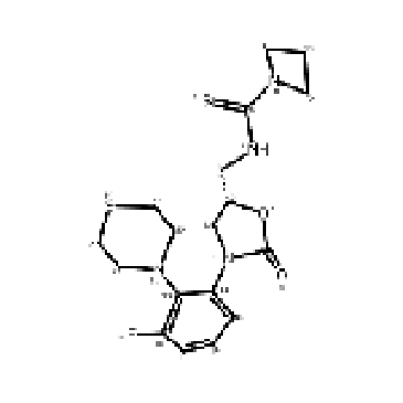 O=C1O[C@@H](CNC(=S)N2CCC2)CN1c1cccc(F)c1N1CCSCC1